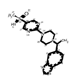 CC(c1ccc2scnc2c1)N1CCN(c2ncc([S@](C)(=N)=O)cn2)CC1